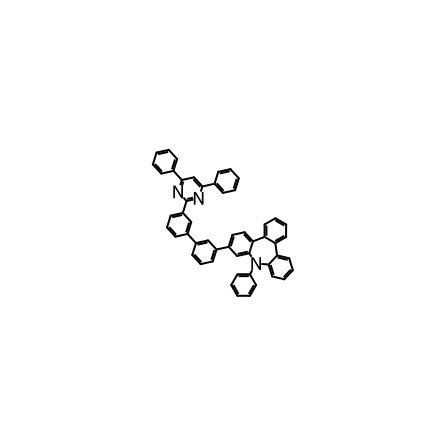 c1ccc(-c2cc(-c3ccccc3)nc(-c3cccc(-c4cccc(-c5ccc6c(c5)N(c5ccccc5)c5ccccc5-c5ccccc5-6)c4)c3)n2)cc1